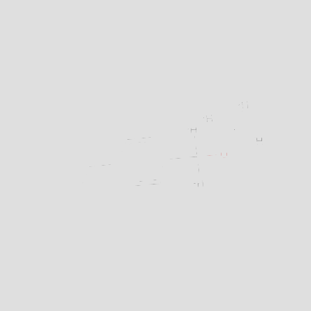 [2H]C([2H])([2H])OC([2H])([2H])c1ccc(C(C)C)cc1